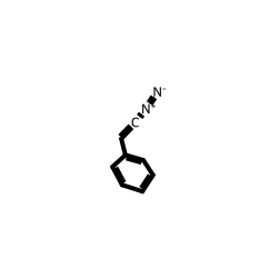 [N-]=[N+]=C=Cc1ccccc1